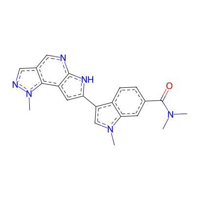 CN(C)C(=O)c1ccc2c(-c3cc4c(ncc5cnn(C)c54)[nH]3)cn(C)c2c1